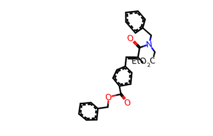 CCOC(=O)CN(Cc1ccccc1)C(=O)/C(C)=C/c1ccc(C(=O)OCc2ccccc2)cc1